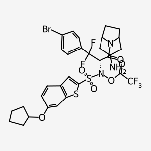 NC1CC2CCC(C1)N2C(=O)[C@H](N(OC(=O)C(F)(F)F)S(=O)(=O)c1cc2ccc(OC3CCCC3)cc2s1)C(F)(F)c1ccc(Br)cc1